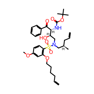 C=CCCCCOc1cc(OC)ccc1S(=O)(=O)N(C[C@H](C)CC=C)C[C@@H](O)[C@@H](NC(=O)OC(C)(C)C)C(=O)c1ccccc1